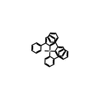 C[Si](c1ccccc1-c1ccccc1)(c1ccccc1-c1ccccc1)c1ccccc1-c1ccccc1